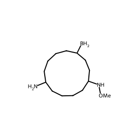 BC1CCCCC(N)CCCCC(NOC)CC1